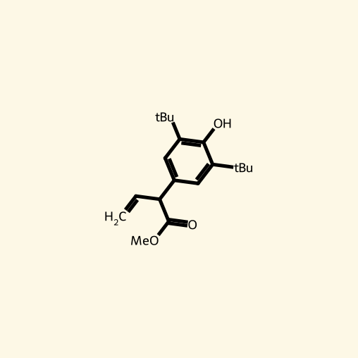 C=CC(C(=O)OC)c1cc(C(C)(C)C)c(O)c(C(C)(C)C)c1